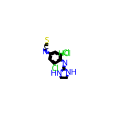 Cl.S=C=Nc1cc(Cl)c(N=C2NCCN2)c(Cl)c1